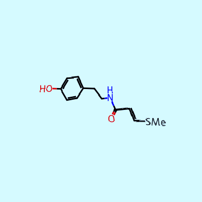 CSC=CC(=O)NCCc1ccc(O)cc1